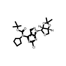 CC(C)(C)OC(=O)N(c1nc(Cl)nc2c1cnn2[C@@H]1OC[C@H]2OC(C)(C)O[C@@H]12)C1CCCC1